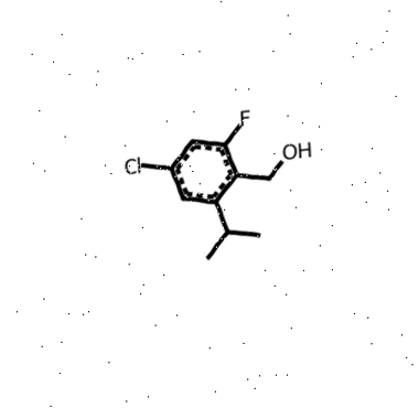 CC(C)c1cc(Cl)cc(F)c1CO